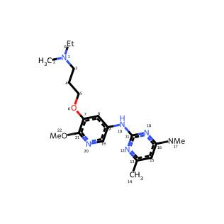 CCN(C)CCCOc1cc(Nc2nc(C)cc(NC)n2)cnc1OC